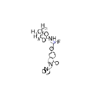 CC(C)(C)OC(=O)NC/C(=C/F)COc1ccc2c(c1)CCN(Cc1ccon1)C2=O